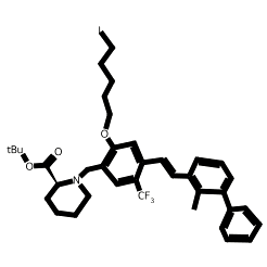 Cc1c(/C=C/c2cc(OCCCCCI)c(CN3CCCC[C@H]3C(=O)OC(C)(C)C)cc2C(F)(F)F)cccc1-c1ccccc1